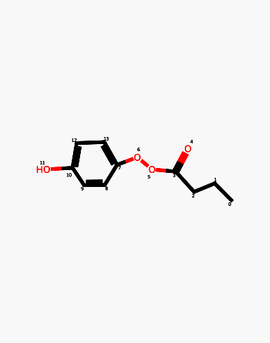 CCCC(=O)OOc1ccc(O)cc1